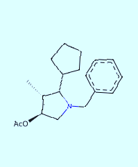 CC(=O)O[C@@H]1CN(Cc2ccccc2)C(C2CCCC2)[C@H]1C